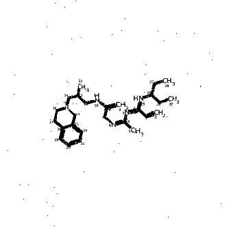 C=C/C(=N\C(C)=N/CC(=C)NCC(C)CN1CCc2ccccc2C1)NC(CC)CC